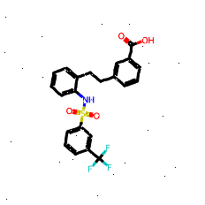 O=C(O)c1cccc(CCc2ccccc2NS(=O)(=O)c2cccc(C(F)(F)F)c2)c1